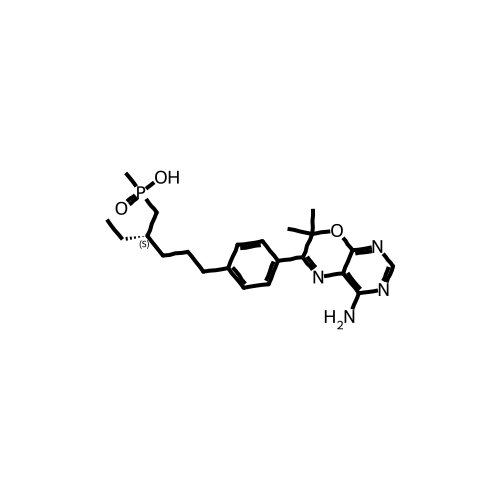 CC[C@@H](CCCc1ccc(C2=Nc3c(N)ncnc3OC2(C)C)cc1)CP(C)(=O)O